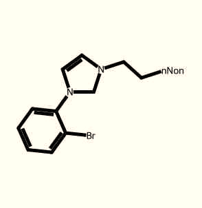 CCCCCCCCCCCN1C=CN(c2ccccc2Br)C1